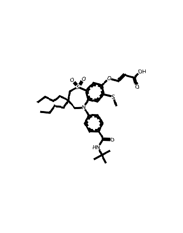 CCCCC1(CCCC)CN(c2ccc(C(=O)NC(C)(C)C)cc2)c2cc(SC)c(OC=CC(=O)O)cc2S(=O)(=O)C1